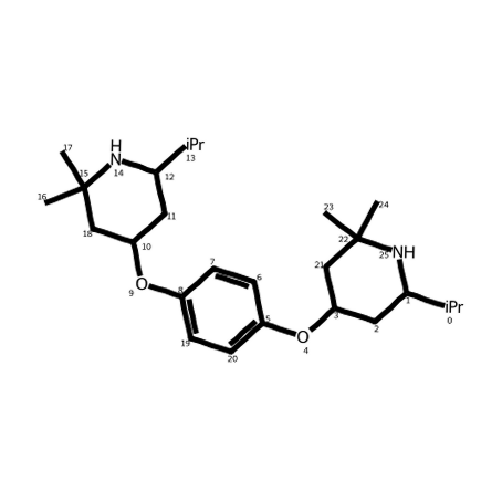 CC(C)C1CC(Oc2ccc(OC3CC(C(C)C)NC(C)(C)C3)cc2)CC(C)(C)N1